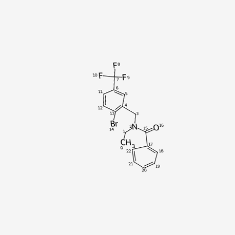 CCN(Cc1cc(C(F)(F)F)ccc1Br)C(=O)c1ccccc1